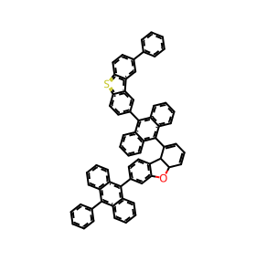 C1=CC2Oc3cc(-c4c5ccccc5c(-c5ccccc5)c5ccccc45)ccc3C2C(c2c3ccccc3c(-c3ccc4sc5ccc(-c6ccccc6)cc5c4c3)c3ccccc23)=C1